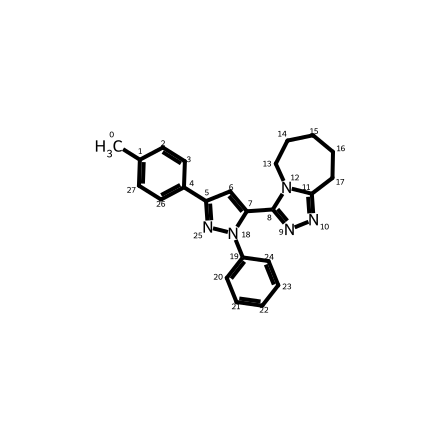 Cc1ccc(-c2cc(-c3nnc4n3CCCCC4)n(-c3ccccc3)n2)cc1